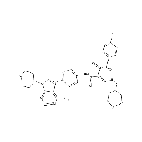 Nc1ncnc2c1c(-c1ccc(NC(=O)c3cn(CC4CCOCC4)cc(-c4ccc(F)cc4)c3=O)cc1)cn2C1CCOCC1